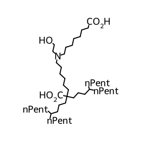 CCCCCC(CCCCC)CCCC(CCCCCCN(CCO)CCCCCCCC(=O)O)(CCCC(CCCCC)CCCCC)C(=O)O